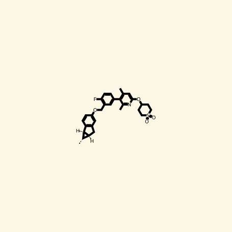 Cc1cc(OC2CCS(=O)(=O)CC2)nc(C)c1-c1ccc(F)c(COc2ccc3c(c2)C[C@H]2[C@H](C)[C@@H]32)c1